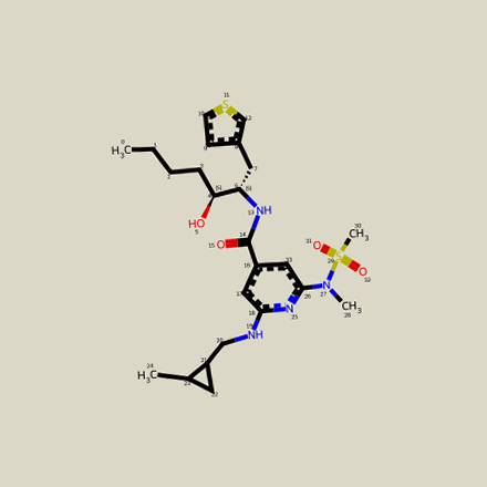 CCCC[C@H](O)[C@H](Cc1ccsc1)NC(=O)c1cc(NCC2CC2C)nc(N(C)S(C)(=O)=O)c1